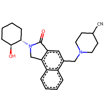 N#CC1CCN(Cc2cc3c(c4ccccc24)CN([C@H]2CCCC[C@@H]2O)C3=O)CC1